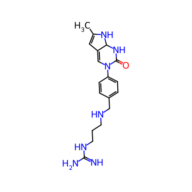 CC1=CC2=CN(c3ccc(CNCCCNC(=N)N)cc3)C(=O)NC2N1